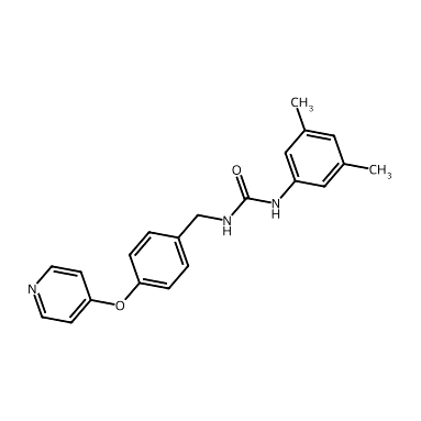 Cc1cc(C)cc(NC(=O)NCc2ccc(Oc3ccncc3)cc2)c1